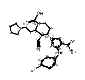 N#C[C@H]1C(CCN2CCCC2)N(C(=O)O)CC[C@@H]1n1cc(C(N)=O)c(Nc2ccc(F)cc2)n1